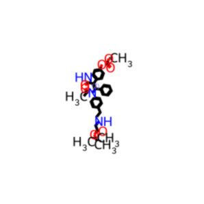 COC(=O)Oc1ccc2c(c1)NC(=O)/C2=C(/c1ccccc1)N(C(C)=O)c1ccc(CCNCC(=O)OC(C)(C)C)cc1